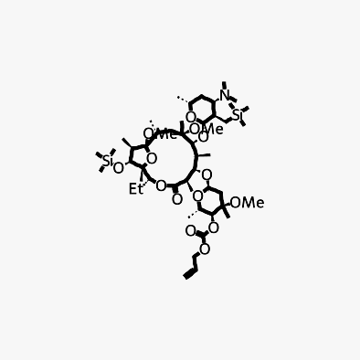 C=CCOC(=O)O[C@H]1[C@H](C)O[C@@H](O[C@H]2[C@H](C)[C@@H](O[C@@H]3O[C@H](C)C[C@H](N(C)C)[C@H]3C[Si](C)(C)C)[C@](C)(OC)C[C@@H](C)[C@]3(OC)O[C@@](C)([C@H](O[Si](C)(C)C)[C@H]3C)[C@@H](CC)OC(=O)[C@@H]2C)C[C@@]1(C)OC